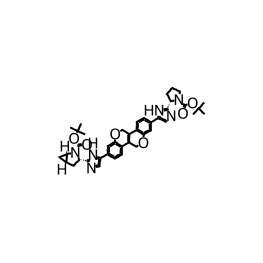 CC(C)(C)OC(=O)N1CCC[C@H]1c1ncc(-c2ccc3c(c2)OCC2=C3COc3cc(-c4cnc([C@@H]5C[C@H]6C[C@H]6N5C(=O)OC(C)(C)C)[nH]4)ccc32)[nH]1